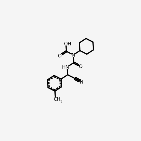 Cc1cccc(C(C#N)NC(=O)N(C(=O)O)C2CCCCC2)c1